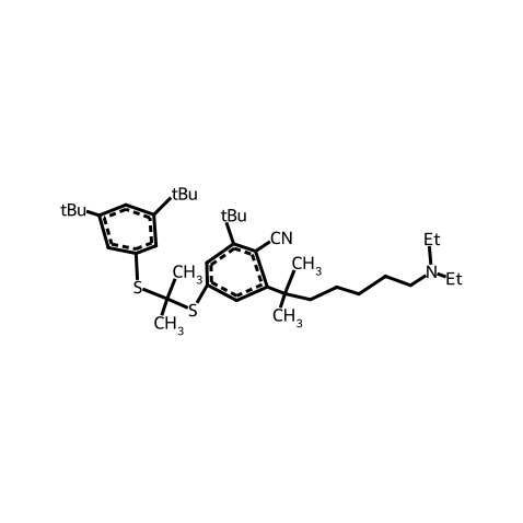 CCN(CC)CCCCCC(C)(C)c1cc(SC(C)(C)Sc2cc(C(C)(C)C)cc(C(C)(C)C)c2)cc(C(C)(C)C)c1C#N